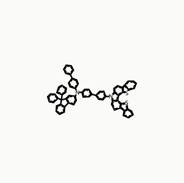 c1ccc(-c2ccc(N(c3ccc(-c4ccc(-n5c6ccc7c8ccccc8sc7c6c6c7sc8ccccc8c7ccc65)cc4)cc3)c3ccc4c(c3)C(c3ccccc3)(c3ccccc3)c3ccccc3-4)cc2)cc1